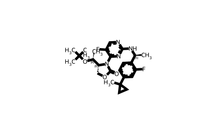 C[C@H](Nc1ncc(F)c(N2C(=O)OC[C@@H]2[C@@H](C)OC(C)(C)C)n1)c1ccc(C2(C)CC2)cc1F